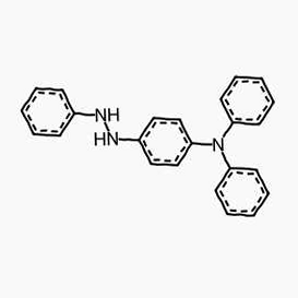 c1ccc(NNc2ccc(N(c3ccccc3)c3ccccc3)cc2)cc1